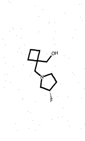 OCC1(CN2CC[C@H](F)C2)CCC1